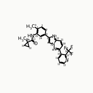 Cc1ccc(-c2cn3nc(-c4cccnc4C(F)(F)F)ccc3n2)cc1NC(=O)C1(C)CC1